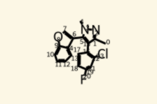 Cc1nn(C)c(-c2coc3ccccc23)c1-c1ccc(F)cc1Cl